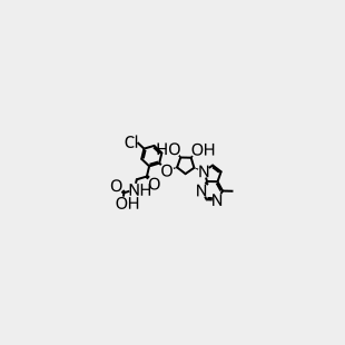 Cc1ncnc2c1ccn2[C@@H]1C[C@H](Oc2ccc(Cl)cc2C(=O)CNC(=O)O)[C@@H](O)[C@H]1O